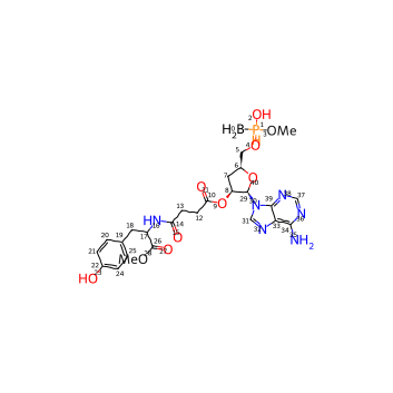 B[PH](O)(OC)OC[C@@H]1C[C@H](OC(=O)CCC(=O)NC(Cc2ccc(O)cc2)C(=O)OC)[C@H](n2cnc3c(N)ncnc32)O1